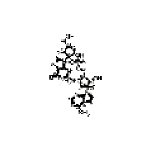 Nc1nc2c(ncn2[C@@]2(OP(O)(=S)OC[C@H]3OC[C@@](F)(n4ccc5c(N)ncnc54)[C@@H]3O)CO[C@H](CO)[C@H]2F)c(=O)[nH]1